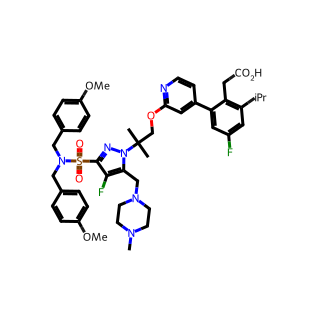 COc1ccc(CN(Cc2ccc(OC)cc2)S(=O)(=O)c2nn(C(C)(C)COc3cc(-c4cc(F)cc(C(C)C)c4CC(=O)O)ccn3)c(CN3CCN(C)CC3)c2F)cc1